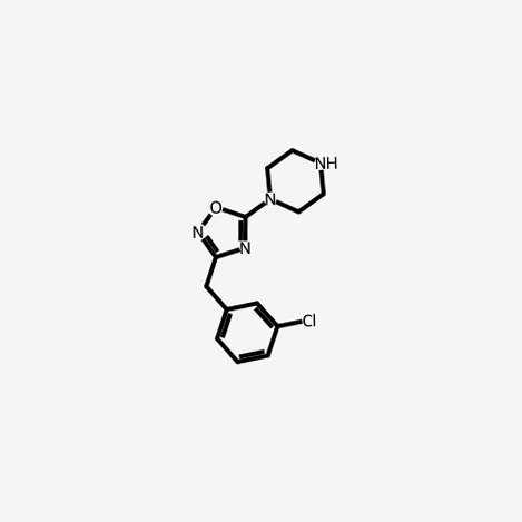 Clc1cccc(Cc2noc(N3CCNCC3)n2)c1